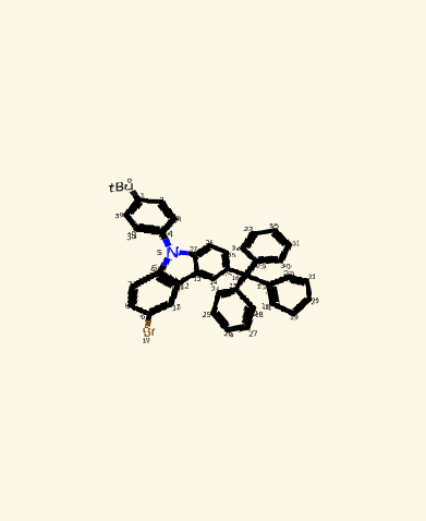 CC(C)(C)c1ccc(-n2c3ccc(Br)cc3c3cc(C(c4ccccc4)(c4ccccc4)c4ccccc4)ccc32)cc1